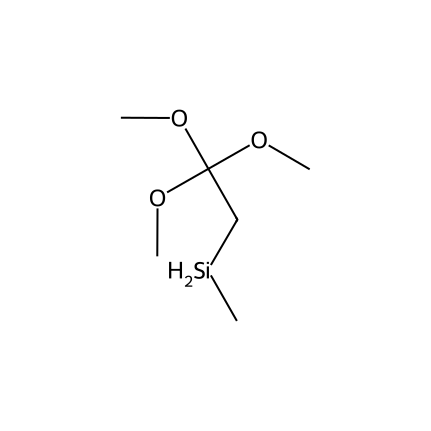 COC(C[SiH2]C)(OC)OC